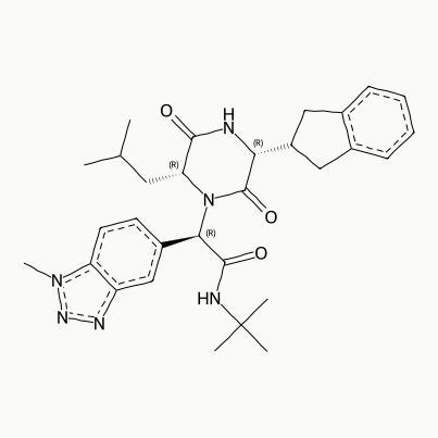 CC(C)C[C@@H]1C(=O)N[C@H](C2Cc3ccccc3C2)C(=O)N1[C@@H](C(=O)NC(C)(C)C)c1ccc2c(c1)nnn2C